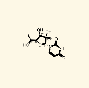 C[C@H](O)[C@H]1O[C@@H](n2ccc(=O)[nH]c2=O)[C@@](O)(F)[C@@H]1O